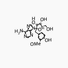 COc1cc(CC2(n3cnc4c(N)ncnc43)O[C@H](CO)[C@@H](O)[C@H]2O)ccc1O